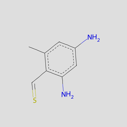 Cc1cc(N)cc(N)c1C=S